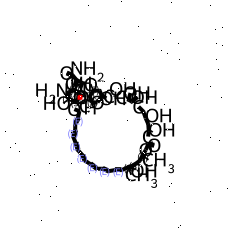 C[C@H]1C[C@H](O)[C@@H](C)/C=C/C=C/C=C/C=C/C=C/C=C/C=C/C(O[C@@H]2OC[C@@H](O)[C@H](N)[C@@H]2O)C[C@@H]2OC(O)(CC(O)CC(O)C(O)CCC(O)CC(O)CC(=O)O1)C[C@H](O)[C@H]2C(=O)N1CC(C(N)=O)C1